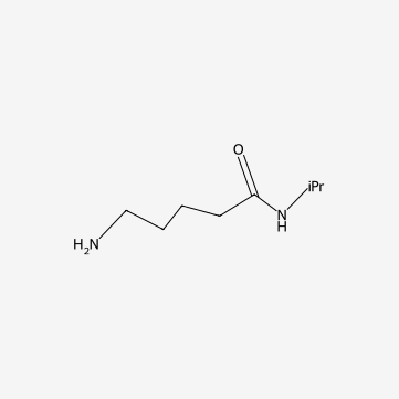 CC(C)NC(=O)CCCCN